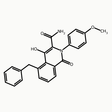 COc1ccc(-n2c(C(N)=O)c(O)c3c(Cc4ccccc4)cccc3c2=O)cc1